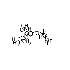 CC(=O)Nc1cn(C(=O)OC(C)(C)C)c2ccc(COCC3[C@H]4CN(CC(F)(F)F)C[C@@H]34)cc12